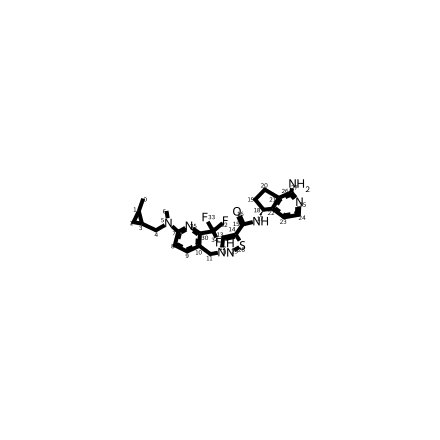 CC1CC1CN(C)c1ccc(CN2C=C(C(=O)N[C@@H]3CCc4c3ccnc4N)SN2)c(C(F)(F)F)n1